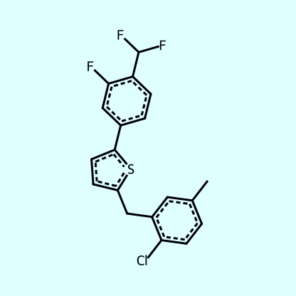 Cc1ccc(Cl)c(Cc2ccc(-c3ccc(C(F)F)c(F)c3)s2)c1